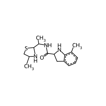 Cc1cccc2c1NC(C(=O)NC(C)C1NC(C)CS1)C2